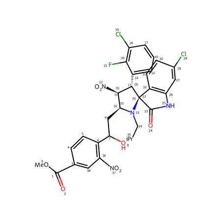 COC(=O)c1ccc(C(O)C[C@H]2[C@@H]([N+](=O)[O-])[C@H](c3cccc(Cl)c3F)[C@]3(C(=O)Nc4cc(Cl)ccc43)N2CC(C)C)c([N+](=O)[O-])c1